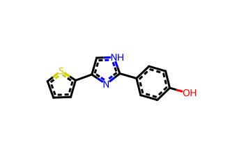 Oc1ccc(-c2nc(-c3cccs3)c[nH]2)cc1